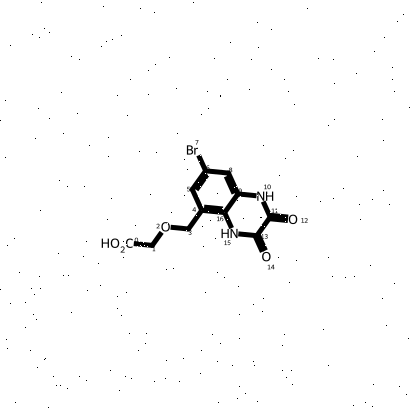 O=C(O)COCc1cc(Br)cc2[nH]c(=O)c(=O)[nH]c12